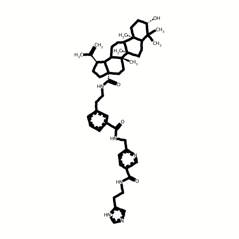 C=C(C)[C@@H]1CC[C@]2(C(=O)NCCc3cccc(C(=O)NCc4ccc(C(=O)NCCc5cnc[nH]5)cn4)c3)CC[C@]3(C)C(CCC4[C@@]5(C)CC[C@H](O)C(C)(C)C5CC[C@]43C)C12